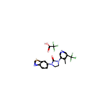 Cc1c(N2CCN(c3ccc4ncsc4c3)C2=O)cncc1C(F)(F)F.O=C(O)C(F)(F)F